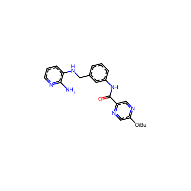 CC(C)COc1cnc(C(=O)Nc2cccc(CNc3cccnc3N)c2)cn1